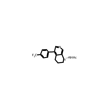 CC(=O)N[C@@H]1CCCc2c(-c3ccc(C(F)(F)F)cc3)cncc21